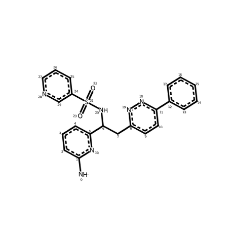 [NH]c1cccc(C(Cc2ccc(-c3ccccc3)nn2)NS(=O)(=O)c2cccnc2)n1